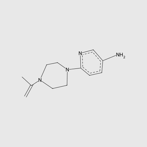 C=C(C)N1CCN(c2ccc(N)cn2)CC1